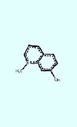 C[n+]1cccc2ccc(O)cc21